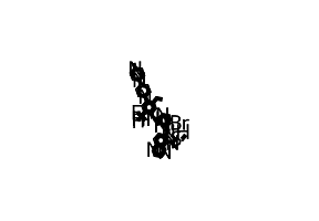 CCSN(C)c1c(Nc2nc(Nc3cc(CC)c(N4CCC(N5CCN(C)CC5)CC4)cc3C(F)(F)F)ncc2Br)ccc2nccnc12